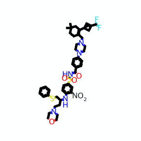 CC1(C)CCC(CN2CCN(c3ccc(C(=O)NS(=O)(=O)c4ccc(NC(CCN5CCOCC5)CSc5ccccc5)c([N+](=O)[O-])c4)cc3)CC2)=C(C23CC(C(F)F)(C2)C3)C1